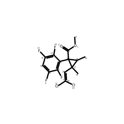 COC(=O)C1(c2c(F)c(F)cc(F)c2F)C(C)C1(C)C=C(Cl)Cl